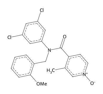 COc1ccccc1CN(C(=O)c1cc[n+]([O-])cc1C)c1cc(Cl)cc(Cl)c1